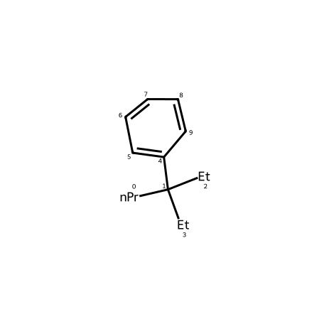 CCCC(CC)(CC)c1ccccc1